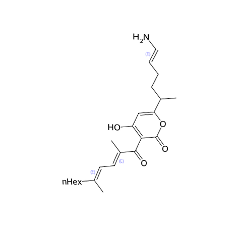 CCCCCC/C(C)=C/C=C(\C)C(=O)c1c(O)cc(C(C)CC/C=C/N)oc1=O